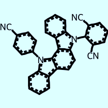 N#Cc1ccc(-n2c3ccccc3c3ccc4c(c5ccccc5n4-c4c(C#N)cccc4C#N)c32)cc1